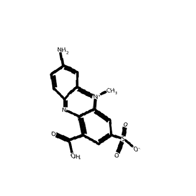 C[n+]1c2cc(N)ccc2nc2c(C(=O)O)cc(S(=O)(=O)[O-])cc21